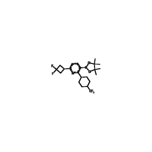 CC1(C)OB(c2ccc(C3CC(F)(F)C3)nc2C2CCC(C(F)(F)F)CC2)OC1(C)C